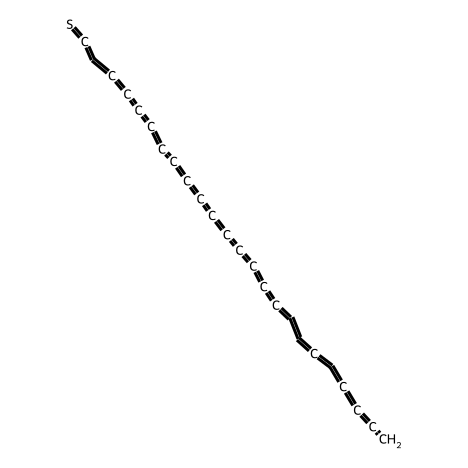 C=C=C=C=C=C=C=C=C=C=C=C=C=C=C=C=C=C=C=C=C=C=C=C=S